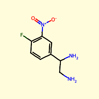 NCC(N)c1ccc(F)c([N+](=O)[O-])c1